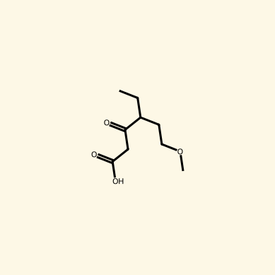 CCC(CCOC)C(=O)CC(=O)O